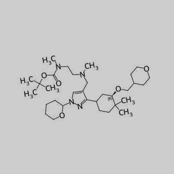 CN(CCN(C)C(=O)OC(C)(C)C)Cc1cn(C2CCCCO2)nc1C1CCC(C)(C)[C@H](OCC2CCOCC2)C1